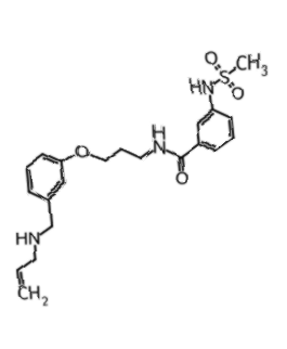 C=CCNCc1cccc(OCCCNC(=O)c2cccc(NS(C)(=O)=O)c2)c1